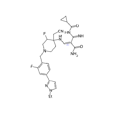 CCn1ccc(-c2ccc(CN3CCC(CC#N)(N/C=C(\C(=N)NC(=O)C4CC4)C(N)=O)C(F)C3)c(F)c2)n1